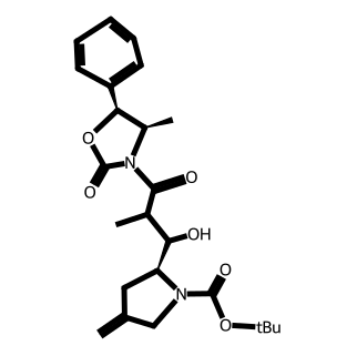 C=C1C[C@@H](C(O)C(C)C(=O)N2C(=O)O[C@@H](c3ccccc3)[C@H]2C)N(C(=O)OC(C)(C)C)C1